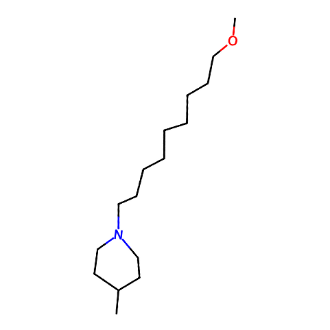 COCCCCCCCCCN1CCC(C)CC1